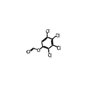 O=COc1cc(Cl)c(Cl)c(Cl)c1Cl